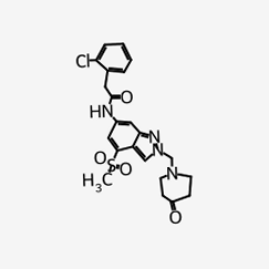 CS(=O)(=O)c1cc(NC(=O)Cc2ccccc2Cl)cc2nn(CN3CCC(=O)CC3)cc12